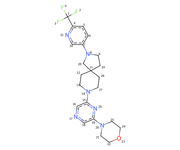 FC(F)(F)c1ccc(N2CCC3(CCN(c4cncc(N5CCOCC5)n4)CC3)C2)cn1